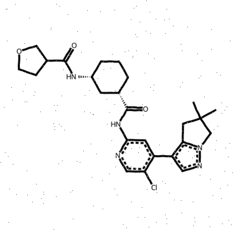 CC1(C)Cc2c(-c3cc(NC(=O)[C@H]4CCC[C@@H](NC(=O)C5CCOC5)C4)ncc3Cl)cnn2C1